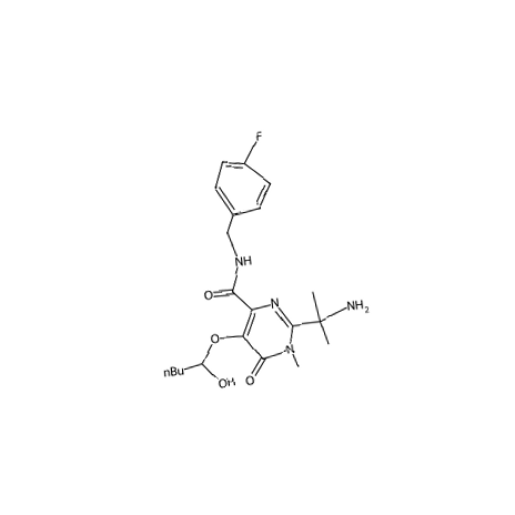 CCCCC(O)Oc1c(C(=O)NCc2ccc(F)cc2)nc(C(C)(C)N)n(C)c1=O